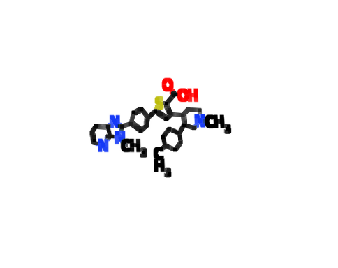 CC1CCC(C2=C(c3cc(-c4ccc(-c5nc6cccnc6n5C)cc4)sc3C(=O)O)CCN(C)C2)CC1